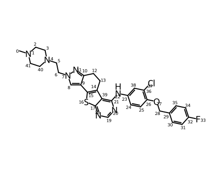 CN1CCN(CCn2cc3c(n2)CCc2c-3sc3ncnc(Nc4ccc(OCc5ccc(F)cc5)c(Cl)c4)c23)CC1